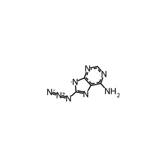 [N-]=[N+]=NC1=Nc2c(N)ncnc2[N]1